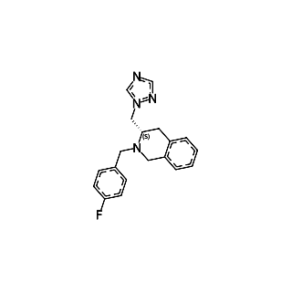 Fc1ccc(CN2Cc3ccccc3C[C@H]2Cn2cncn2)cc1